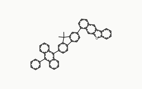 CC1(C)c2cc(-c3cccc4cc5c(cc34)oc3ccccc35)ccc2-c2ccc(-c3c4ccccc4c(-c4ccccc4)c4ccccc34)cc21